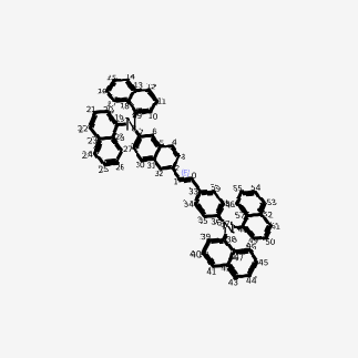 C(=C\c1ccc2cc(N(c3cccc4ccccc34)c3cccc4ccccc34)ccc2c1)/c1ccc(N(c2cccc3ccccc23)c2cccc3ccccc23)cc1